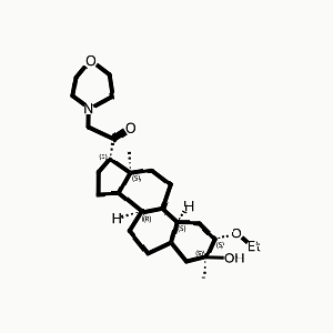 CCO[C@H]1C[C@H]2C(CC[C@@H]3C2CC[C@@]2(C)C3CC[C@@H]2C(=O)CN2CCOCC2)C[C@]1(C)O